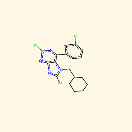 Clc1cccc(-c2nc(Cl)nc3nc(Br)n(CC4CCCCC4)c23)c1